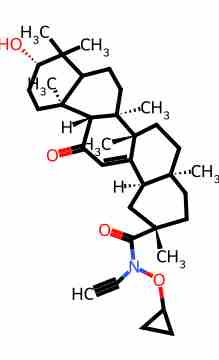 C#CN(OC1CC1)C(=O)[C@@]1(C)CC[C@]2(C)CC[C@]3(C)C(=CC(=O)[C@@H]4[C@@]5(C)CC[C@H](O)C(C)(C)C5CC[C@]43C)[C@@H]2C1